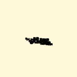 C=CCCC1CCC(c2ccc(CCc3ccc(-c4ccc(OCC)c(F)c4F)c(F)c3F)c(F)c2F)CO1